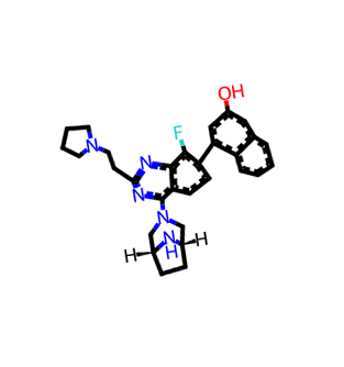 Oc1cc(-c2ccc3c(N4C[C@H]5CC[C@@H](C4)N5)nc(CCN4CCCC4)nc3c2F)c2ccccc2c1